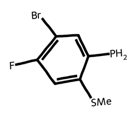 CSc1cc(F)c(Br)cc1P